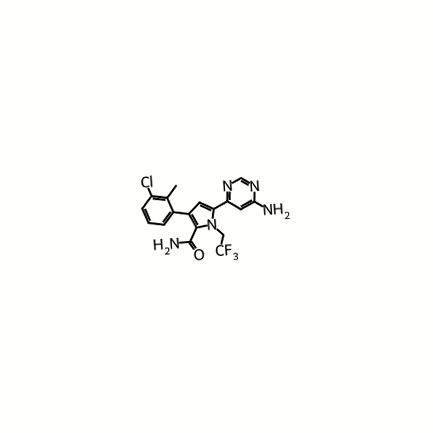 Cc1c(Cl)cccc1-c1cc(-c2cc(N)ncn2)n(CC(F)(F)F)c1C(N)=O